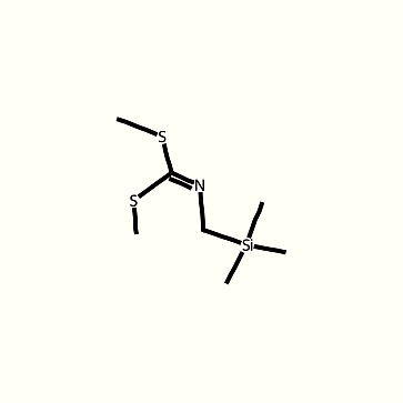 CSC(=NC[Si](C)(C)C)SC